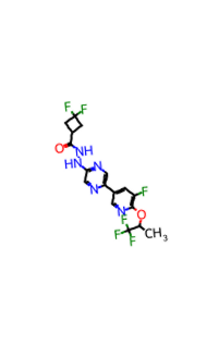 CC(Oc1ncc(-c2cnc(NNC(=O)C3CC(F)(F)C3)cn2)cc1F)C(F)(F)F